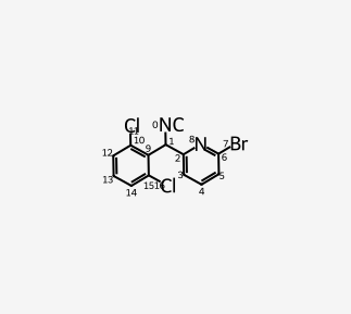 [C-]#[N+]C(c1cccc(Br)n1)c1c(Cl)cccc1Cl